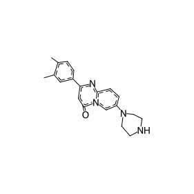 Cc1ccc(-c2cc(=O)n3cc(N4CCNCC4)ccc3n2)cc1C